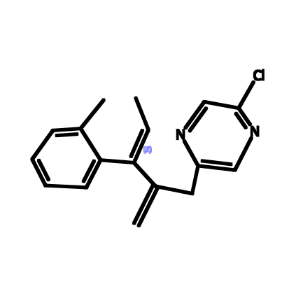 C=C(Cc1cnc(Cl)cn1)/C(=C/C)c1ccccc1C